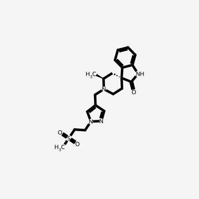 C[C@H]1C[C@@]2(CCN1Cc1cnn(CCS(C)(=O)=O)c1)C(=O)Nc1ccccc12